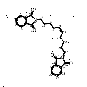 O=C1c2ccccc2C(=O)N1CCCC/C=C\CCCCN1C(=O)c2ccccc2C1=O